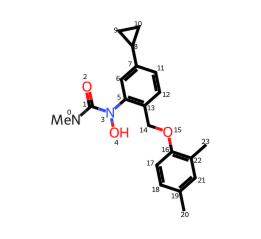 CNC(=O)N(O)c1cc(C2CC2)ccc1COc1ccc(C)cc1C